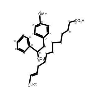 CCCCCCCCC=CCCCCCCCCCC(=O)O.COc1ccc(CC(C(=O)O)c2ccccc2)cc1